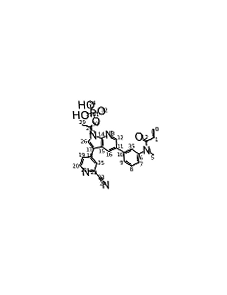 C=CC(=O)N(C)c1cccc(-c2cnc3c(c2)c(-c2ccnc(C#N)c2)cn3C(C)OP(=O)(O)O)c1